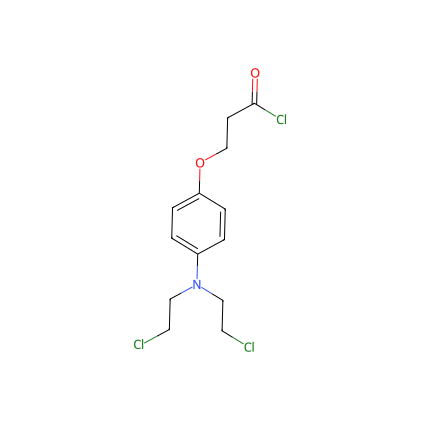 O=C(Cl)CCOc1ccc(N(CCCl)CCCl)cc1